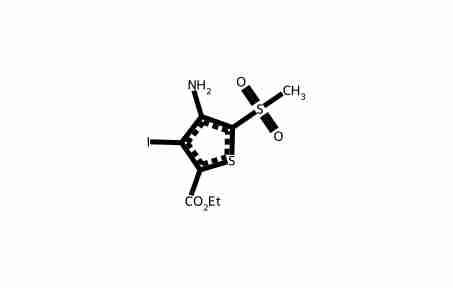 CCOC(=O)c1sc(S(C)(=O)=O)c(N)c1I